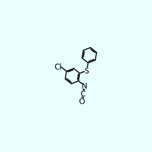 O=C=Nc1ccc(Cl)cc1Sc1ccccc1